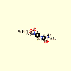 CON(C(C)=O)[C@H]1CN(c2ccc(N3C[C@H](CNC(C)=O)OC3=O)cc2F)C[C@@H]1O